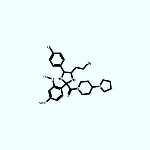 CCOc1cc(OC)ccc1C1(C(=O)N2CCC(N3CCCC3)CC2)NC(CCC(C)C)C(c2ccc(Cl)cc2)N1